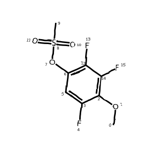 COc1c(F)cc(OS(C)(=O)=O)c(F)c1F